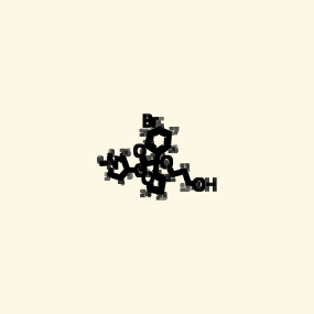 C[N+]1(C)CCC(OC(=O)C(OCCCO)(c2ccccc2)c2ccco2)C1.[Br-]